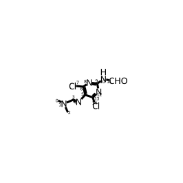 CN(C)C=Nc1c(Cl)nc(NC=O)nc1Cl